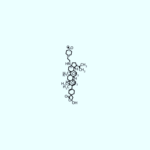 C=C(C)[C@@H]1CC[C@]2(NCCN3CCS(=O)(=O)CC3)CC[C@]3(C)C(CC[C@@H]4[C@]5(C)CC=C(C6=CCC(CCO)(C(=O)[O-])CC6)C(C)(C)[C@@H]5CC[C@]43C)[C@@H]12.[K+]